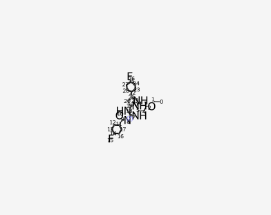 CCOCCCN/C(=N/C(=O)c1ccc(F)cc1)NC1CC(c2ccc(F)cc2)NN1